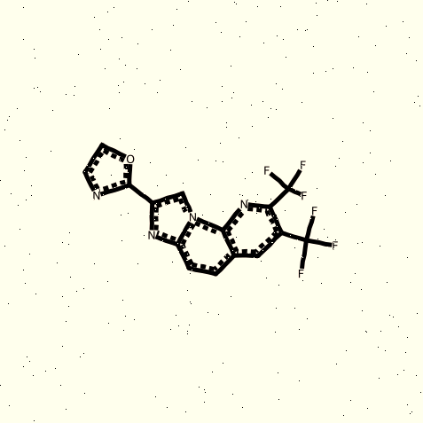 FC(F)(F)c1cc2ccc3nc(-c4ncco4)cn3c2nc1C(F)(F)F